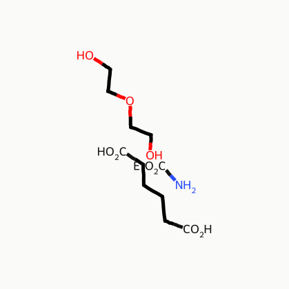 CCOC(N)=O.O=C(O)CCCCC(=O)O.OCCOCCO